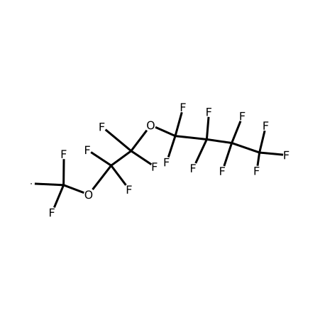 [CH2]C(F)(F)OC(F)(F)C(F)(F)OC(F)(F)C(F)(F)C(F)(F)C(F)(F)F